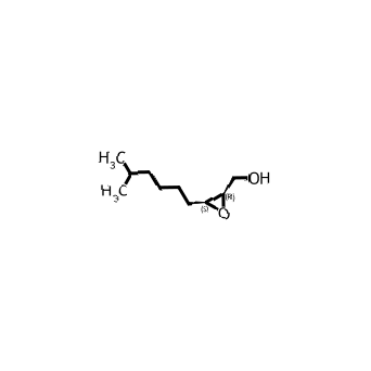 CC(C)CCCC[C@@H]1O[C@@H]1CO